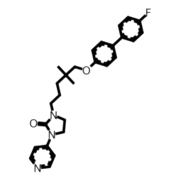 CC(C)(CCCN1CCN(c2ccncc2)C1=O)COc1ccc(-c2ccc(F)cc2)cc1